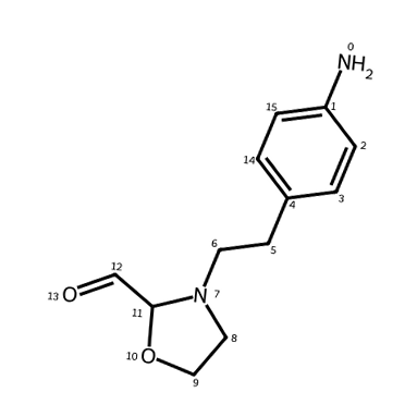 Nc1ccc(CCN2CCOC2C=O)cc1